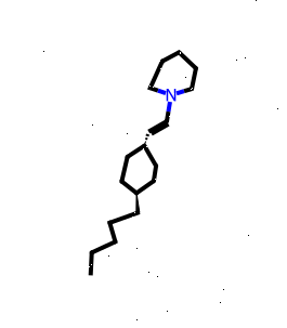 CCCCC[C@H]1CC[C@H](/C=C/N2CCCCC2)CC1